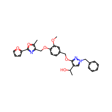 COc1cc(COc2nn(Cc3ccccc3)cc2C(C)O)ccc1OCc1nc(-c2ccco2)oc1C